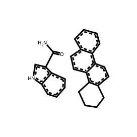 NC(=O)c1c[nH]c2ccccc12.c1ccc2c(c1)ccc1c3c(ccc12)CCCC3